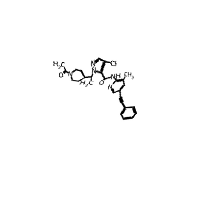 CC(=O)N1CCC([C@H](C)n2ncc(Cl)c2C(=O)Nc2ncc(C#Cc3ccccc3)cc2C)CC1